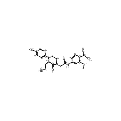 COc1cc(NC(=O)CC2CCC(c3ccc(Cl)cc3)N(CCS)C2=O)ccc1C(=O)O